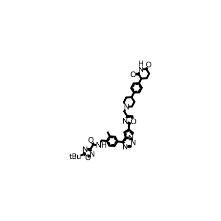 Cc1cc(-c2ncnn3cc(-c4nc(CN5CCC(c6ccc(C7CCC(=O)NC7=O)cc6)CC5)co4)cc23)ccc1CNC(=O)c1noc(C(C)(C)C)n1